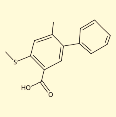 CSc1cc(C)c(-c2ccccc2)cc1C(=O)O